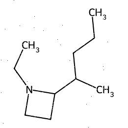 CCCC(C)C1CCN1CC